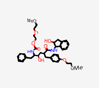 COCCOCCOC(=O)NC(Cc1ccccc1)C(O)CC(Cc1ccc(OCCOC)cc1)C(=O)NC1c2ccccc2CC1O